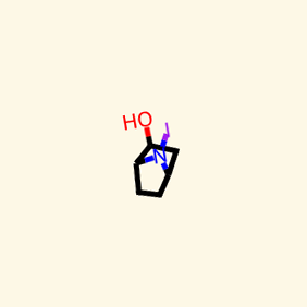 OC1CC2CCC1N2I